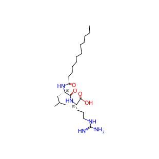 CCCCCCCCCCCC(=O)N[C@@H](CC(C)C)C(=O)N[C@@H](CCCNC(=N)N)C(=O)O